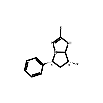 F[C@@H]1C[C@H](c2ccccc2)N2N=C(Br)NC12